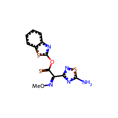 CO/N=C(\C(=S)Oc1nc2ccccc2s1)c1nsc(N)n1